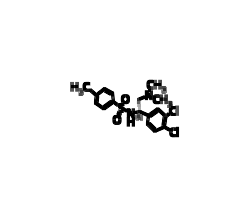 Cc1ccc(S(=O)(=O)N[C@H](CN(C)C)c2ccc(Cl)c(Cl)c2)cc1